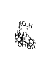 CC1/C(=C\CCC(=O)O)[C@H]2CC[C@@H](O)[C@H](C#CC(O)C3CCCCC3)[C@@H]12